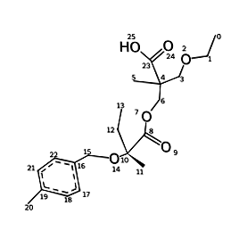 CCOCC(C)(COC(=O)[C@@](C)(CC)OCc1ccc(C)cc1)C(=O)O